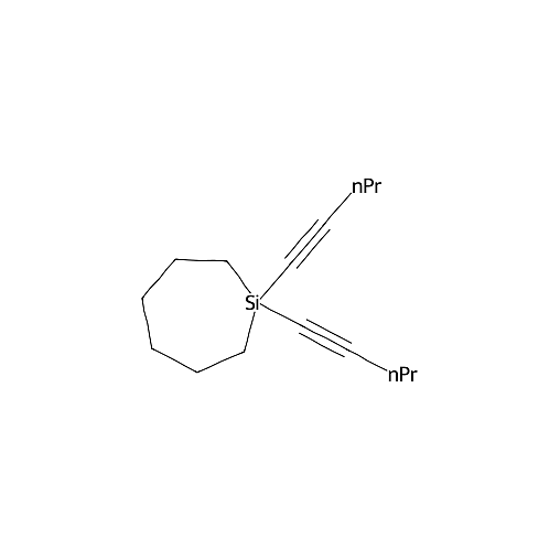 CCCC#C[Si]1(C#CCCC)CCCCCC1